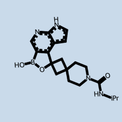 CC(C)NC(=O)N1CCC2(CC1)CC1(C2)OB(O)c2cnc3[nH]ccc3c21